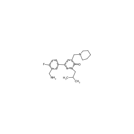 CC(C)Cn1nc(-c2ccc(F)c(CN)c2)cc(CN2CCCCC2)c1=O